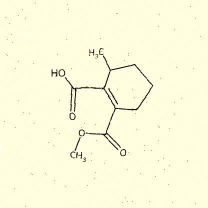 COC(=O)C1=C(C(=O)O)C(C)CCC1